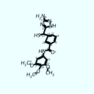 COc1cc(NC(=O)c2cccc(C(S)c3nc(N)n[nH]3)c2)cc(OC)c1OC